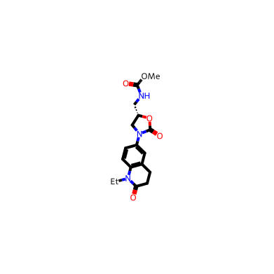 CCN1C(=O)CCc2cc(N3C[C@H](CNC(=O)OC)OC3=O)ccc21